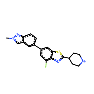 Cn1cc2cc(-c3cc(F)c4nc(C5CCNCC5)sc4c3)ccc2n1